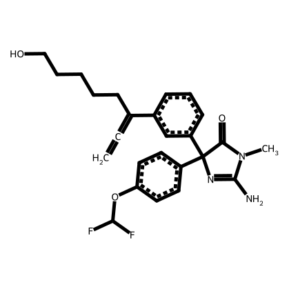 C=C=C(CCCCCO)c1cccc(C2(c3ccc(OC(F)F)cc3)N=C(N)N(C)C2=O)c1